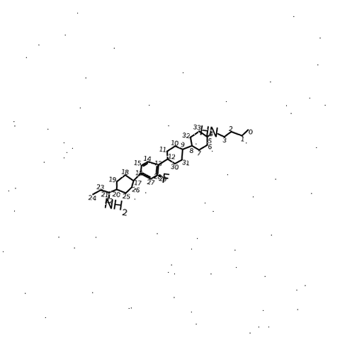 CCCCNC1CCC(C2CCC(c3ccc(C4CCC(C(N)CC)CC4)cc3F)CC2)CC1